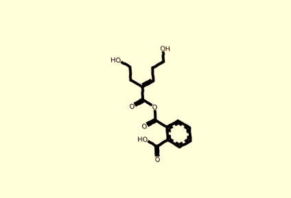 O=C(OC(=O)c1ccccc1C(=O)O)C(=CCCO)CCO